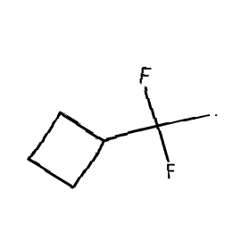 [CH2]C(F)(F)C1CCC1